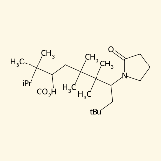 CC(C)C(C)(C)C(CC(C)(C)C(C)(C)C(CC(C)(C)C)N1CCCC1=O)C(=O)O